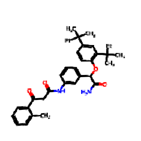 CCC(C)(C)c1ccc(OC(C(N)=O)c2cccc(NC(=O)CC(=O)c3ccccc3C)c2)c(C(C)(C)CC)c1